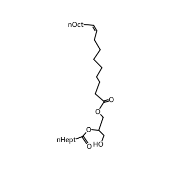 CCCCCCCC/C=C\CCCCCCCC(=O)OCC(CO)OC(=O)CCCCCCC